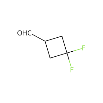 O=CC1CC(F)(F)C1